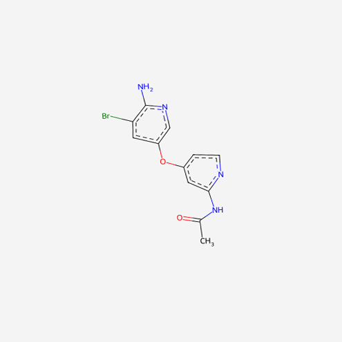 CC(=O)Nc1cc(Oc2cnc(N)c(Br)c2)ccn1